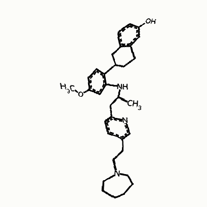 COc1ccc(C2CCc3cc(O)ccc3C2)c(NC(C)Cc2ccc(CCN3CCCCCC3)cn2)c1